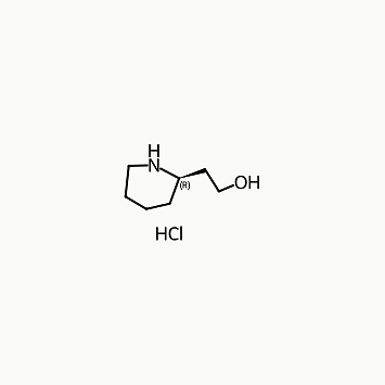 Cl.OCC[C@H]1CCCCN1